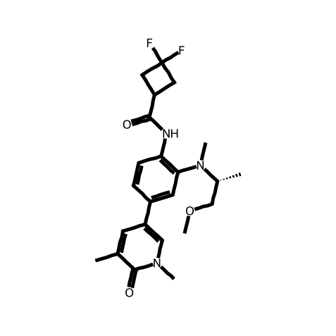 COC[C@@H](C)N(C)c1cc(-c2cc(C)c(=O)n(C)c2)ccc1NC(=O)C1CC(F)(F)C1